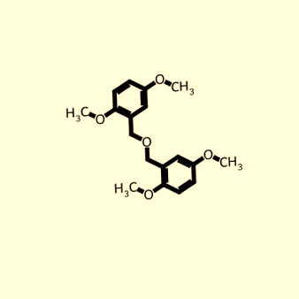 COc1ccc(OC)c(COCc2cc(OC)ccc2OC)c1